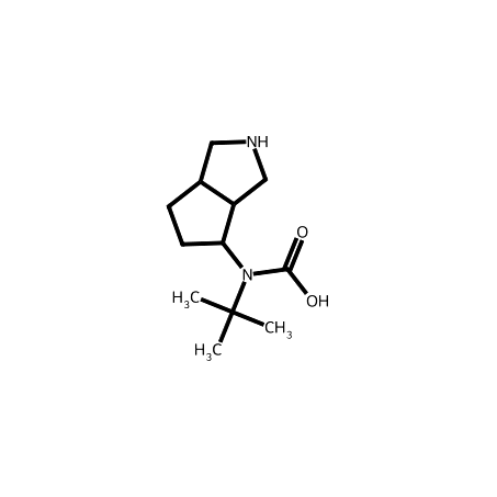 CC(C)(C)N(C(=O)O)C1CCC2CNCC21